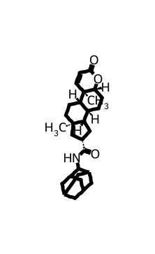 C[C@]12CC[C@H]3[C@@H](CC[C@H]4OC(=O)C=C[C@@]43C)[C@@H]1C[C@H](C(=O)NC1C3CC4CC(C3)CC1C4)C2